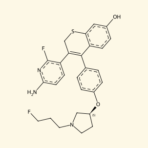 Nc1ccc(C2=C(c3ccc(O[C@H]4CCN(CCCF)C4)cc3)c3ccc(O)cc3SC2)c(F)n1